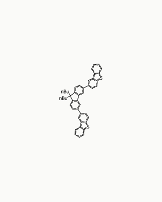 CCCCC1(CCCC)c2ccc(-c3ccc4sc5ccccc5c4c3)cc2-c2cc(-c3ccc4sc5ccccc5c4c3)ccc21